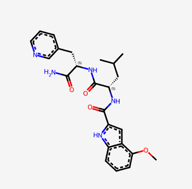 COc1cccc2[nH]c(C(=O)N[C@@H](CC(C)C)C(=O)N[C@@H](Cc3cccnc3)C(N)=O)cc12